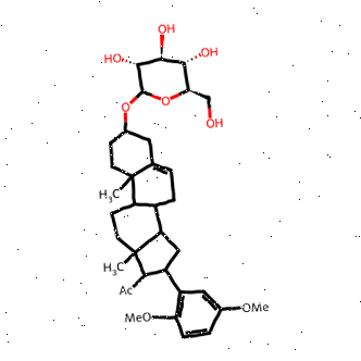 COc1ccc(OC)c(C2CC3C4CC=C5CC(OC6O[C@H](CO)[C@@H](O)[C@H](O)[C@H]6O)CCC5(C)C4CCC3(C)C2C(C)=O)c1